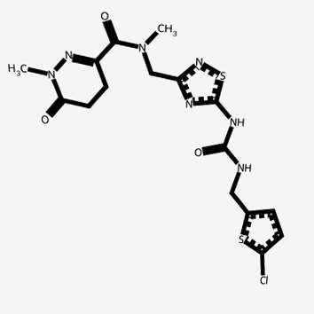 CN(Cc1nsc(NC(=O)NCc2ccc(Cl)s2)n1)C(=O)C1=NN(C)C(=O)CC1